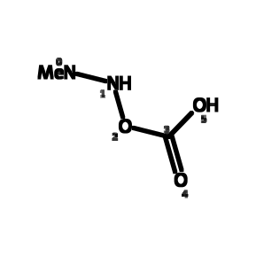 CNNOC(=O)O